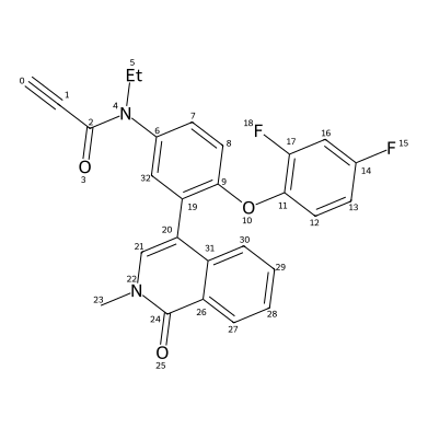 C#CC(=O)N(CC)c1ccc(Oc2ccc(F)cc2F)c(-c2cn(C)c(=O)c3ccccc23)c1